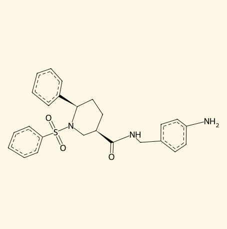 Nc1ccc(CNC(=O)[C@@H]2CC[C@H](c3ccccc3)N(S(=O)(=O)c3ccccc3)C2)cc1